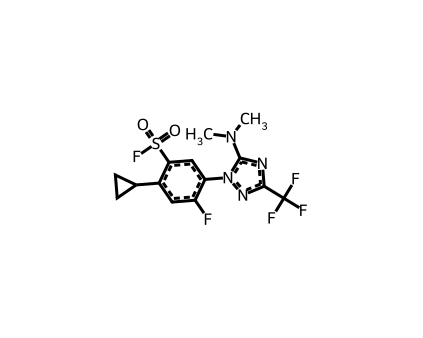 CN(C)c1nc(C(F)(F)F)nn1-c1cc(S(=O)(=O)F)c(C2CC2)cc1F